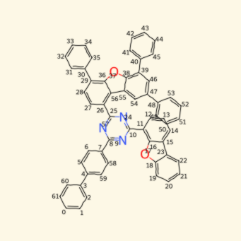 c1ccc(-c2ccc(-c3nc(-c4cccc5c4oc4ccccc45)nc(-c4ccc(-c5ccccc5)c5oc6c(-c7ccccc7)cc(-c7ccccc7)cc6c45)n3)cc2)cc1